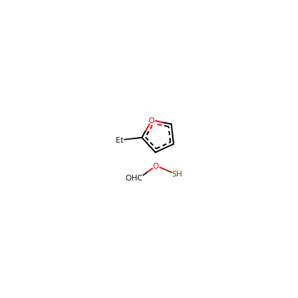 O=COS.[CH2]Cc1ccco1